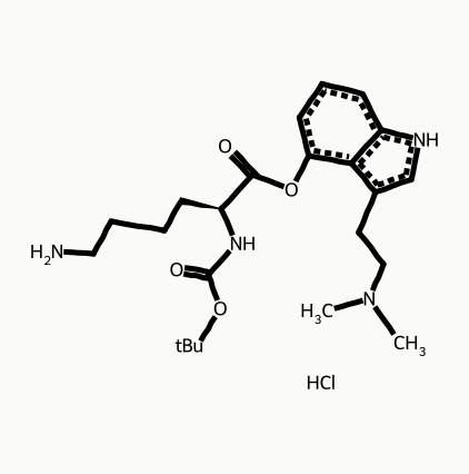 CN(C)CCc1c[nH]c2cccc(OC(=O)[C@H](CCCCN)NC(=O)OC(C)(C)C)c12.Cl